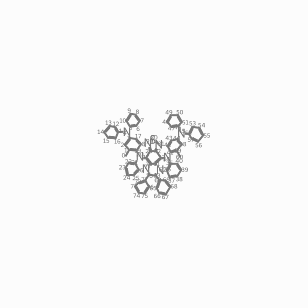 Cc1cc(N(c2ccccc2)c2ccccc2)ccc1N(c1ccccc1)c1c2nsnc2c(N(c2ccccc2)c2ccc(N(c3ccccc3)c3ccccc3)cc2C)c2nc(-c3ccccc3)c(-c3ccccc3)nc12